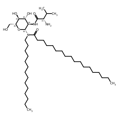 CCCCCCCCCCCCCCCCCC(=O)N(CCCCCCCCCCCCCC)[C@@H]1O[C@H](CO)[C@@H](O)[C@H](O)[C@H]1NC(=O)[C@@H](N)C(C)C